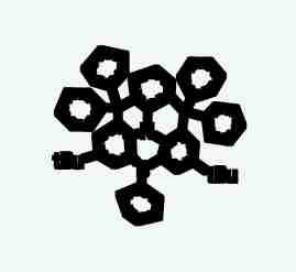 CC(C)(C)c1cc2c3c(c1)C(c1ccccc1)(c1ccccc1)c1cccc4c1N3c1c(cc(C(C)(C)C)cc1C4(c1ccccc1)c1ccccc1)B2c1ccccc1